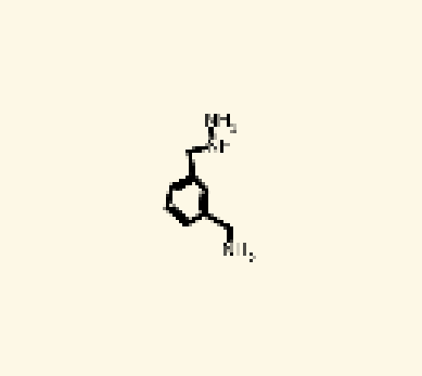 NCc1cccc(CNN)c1